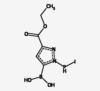 CCOC(=O)c1cc(B(O)O)n(PI)n1